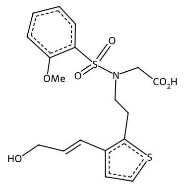 COc1ccccc1S(=O)(=O)N(CCc1sccc1C=CCO)CC(=O)O